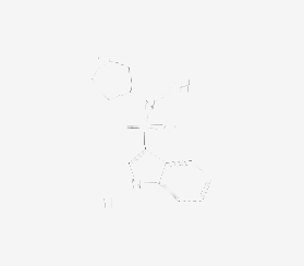 CN([C@@H]1CCOC1)S(=O)(=O)c1cn(C)c2ccccc12